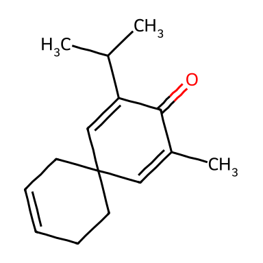 CC1=CC2(C=C(C(C)C)C1=O)CC=CCC2